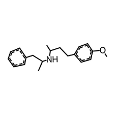 COc1ccc(CCC(C)NC(C)Cc2ccccc2)cc1